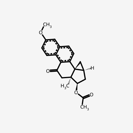 COc1ccc2c3c(ccc2c1)[C@]12C[C@H]1C[C@@H](OC(C)=O)[C@@]2(C)CC3=O